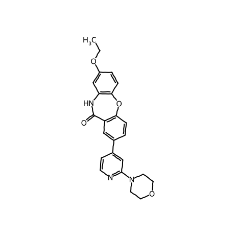 CCOc1ccc2c(c1)NC(=O)c1cc(-c3ccnc(N4CCOCC4)c3)ccc1O2